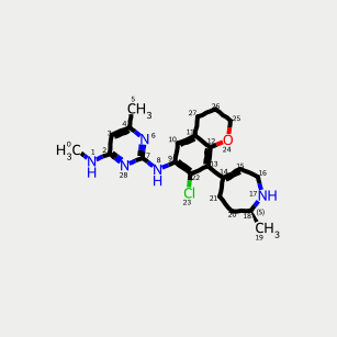 CNc1cc(C)nc(Nc2cc3c(c(C4=CCN[C@@H](C)CC4)c2Cl)OCCC3)n1